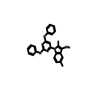 CC(=O)Oc1c(C)n(-c2cc(Oc3ccccc3)nc(Oc3ccccc3)n2)c2ccc(C)cc12